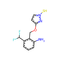 Nc1cccc(C(F)F)c1COc1ccn(S)n1